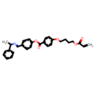 C=CC(=O)OCCCCOc1ccc(C(=O)Oc2ccc(C=NC(C)c3ccccc3)cc2)cc1